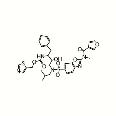 CC(C)CN(CC(O)C(Cc1ccccc1)NC(=O)OCc1cncs1)S(=O)(=O)c1ccc2nc(N(C)C(=O)c3ccoc3)oc2c1